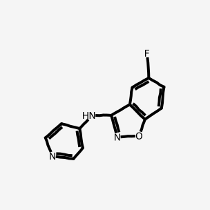 Fc1ccc2onc(Nc3ccncc3)c2c1